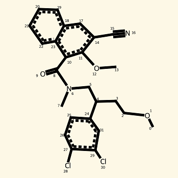 COCCC(CN(C)C(=O)c1c(OC)c(C#N)cc2ccccc12)c1ccc(Cl)c(Cl)c1